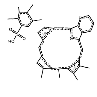 CC1=Cc2cc3ccc(cc4nc(cc5[nH]c(c(C)c1n2)c(C)c5C)-c1cccnc1-4)[nH]3.Cc1cc(S(=O)(=O)O)c(C)c(C)c1C